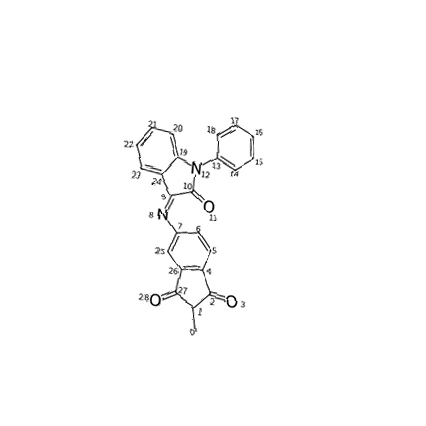 CC1C(=O)c2ccc(N=C3C(=O)N(c4ccccc4)c4ccccc43)cc2C1=O